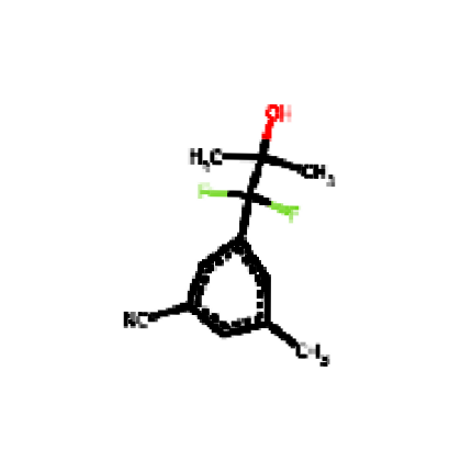 Cc1cc(C#N)cc(C(F)(F)C(C)(C)O)c1